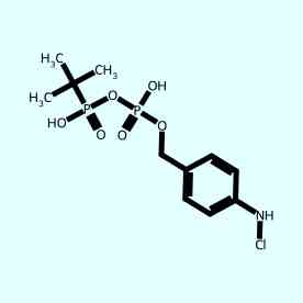 CC(C)(C)P(=O)(O)OP(=O)(O)OCc1ccc(NCl)cc1